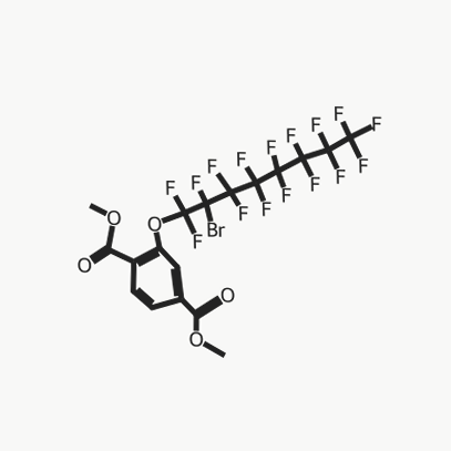 COC(=O)c1ccc(C(=O)OC)c(OC(F)(F)C(F)(Br)C(F)(F)C(F)(F)C(F)(F)C(F)(F)C(F)(F)C(F)(F)F)c1